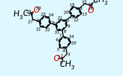 CC(=O)Cc1ccc(-c2cc(-c3ccc(CC(C)=O)cc3)cc(-c3ccc(CC(C)=O)cc3)c2)cc1